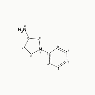 NC1CCN(c2ccccc2)C1